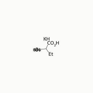 CCCCC(CC)C(=O)O.[KH].[KH]